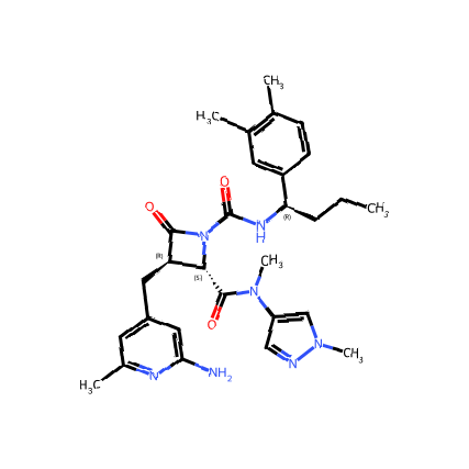 CCC[C@@H](NC(=O)N1C(=O)[C@H](Cc2cc(C)nc(N)c2)[C@H]1C(=O)N(C)c1cnn(C)c1)c1ccc(C)c(C)c1